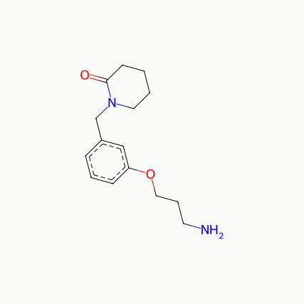 NCCCOc1cccc(CN2CCCCC2=O)c1